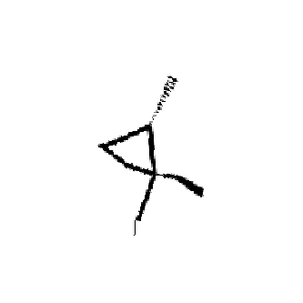 C[C@H]1C[C@@]1(C)I